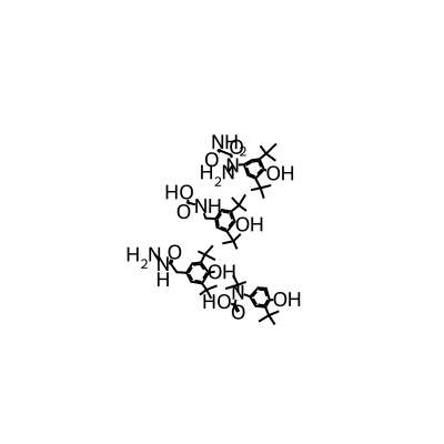 CC(C)(C)c1cc(CC(=O)NN)cc(C(C)(C)C)c1O.CC(C)(C)c1cc(CNC(=O)O)cc(C(C)(C)C)c1O.CC(C)(C)c1cc(N(C(=O)O)C(C)(C)C)ccc1O.CC(C)(C)c1cc(N(N)C(=O)C(N)=O)cc(C(C)(C)C)c1O